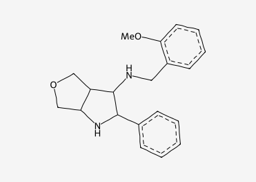 COc1ccccc1CNC1C(c2ccccc2)NC2COCC21